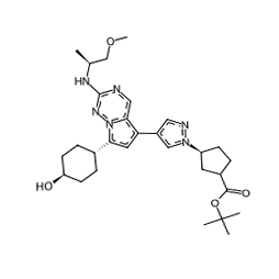 COC[C@H](C)Nc1ncc2c(-c3cnn([C@H]4CCC(C(=O)OC(C)(C)C)C4)c3)cc([C@H]3CC[C@H](O)CC3)n2n1